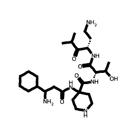 CC(C)C(=O)[C@H](CCN)NC(=O)[C@@H](NC(=O)C1(NC(=O)CC(N)C2CCCCC2)CCNCC1)C(C)O